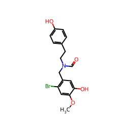 COc1cc(Br)c(CN(C=O)CCc2ccc(O)cc2)cc1O